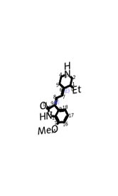 CCC1CNCC/C1=C\C=C1\C(=O)Nc2c(OC)cccc21